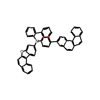 c1ccc(-c2ccccc2N(c2ccc(-c3ccc4c(ccc5ccc6ccccc6c54)c3)cc2)c2ccc3c(c2)oc2ccc4ccccc4c23)cc1